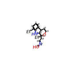 CCc1cccc2c1NC1C2CCO[C@]1(CC)C/C=N/O